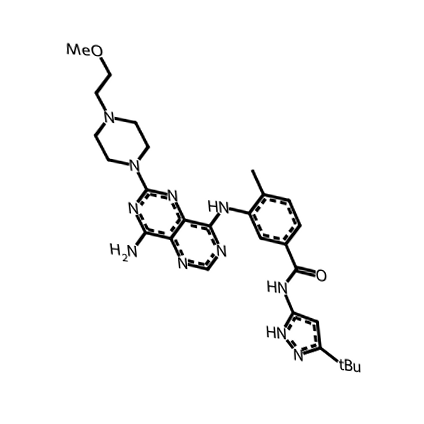 COCCN1CCN(c2nc(N)c3ncnc(Nc4cc(C(=O)Nc5cc(C(C)(C)C)n[nH]5)ccc4C)c3n2)CC1